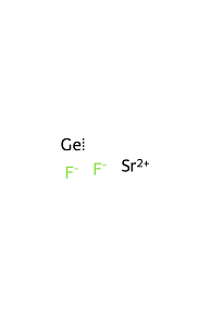 [F-].[F-].[Ge].[Sr+2]